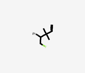 C=CC(C)(C)C(CF)C(C)C